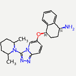 CC1CCCC(C)N1c1nnc2ccc(O[C@@H]3CC[C@H](N)c4ccccc43)cn12